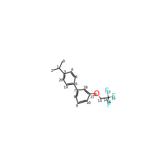 CC(C)c1ccc(-c2cccc(OCC(F)(F)F)c2)cc1